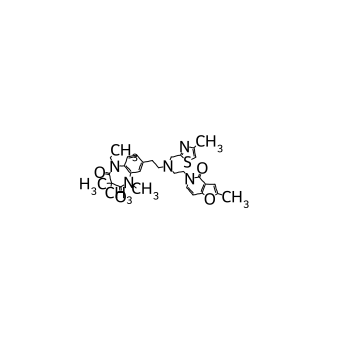 CCN1C(=O)C(C)(C)C(=O)N(C)c2cc(CCN(CCn3ccc4oc(C)cc4c3=O)Cc3nc(C)cs3)ccc21